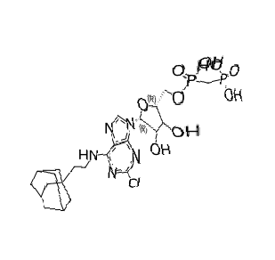 O=P(O)(O)CP(=O)(O)OC[C@H]1O[C@@H](n2cnc3c(NCCC45CC6CC(CC(C6)C4)C5)nc(Cl)nc32)C(O)C1O